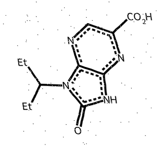 CCC(CC)n1c(=O)[nH]c2nc(C(=O)O)cnc21